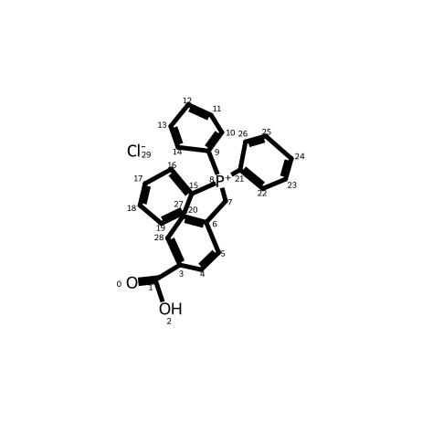 O=C(O)c1ccc(C[P+](c2ccccc2)(c2ccccc2)c2ccccc2)cc1.[Cl-]